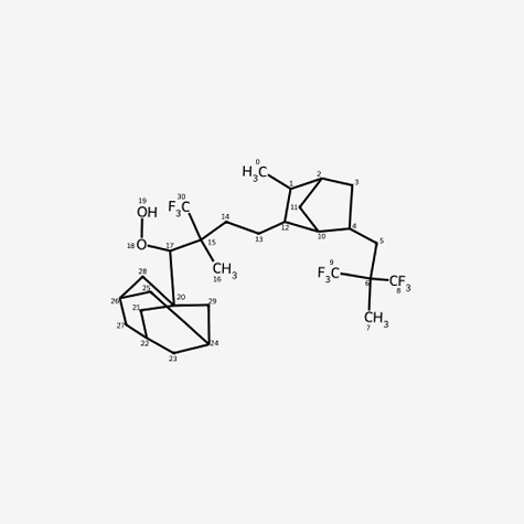 CC1C2CC(CC(C)(C(F)(F)F)C(F)(F)F)C(C2)C1CCC(C)(C(OO)C12CC3CC(CC(C3)C1)C2)C(F)(F)F